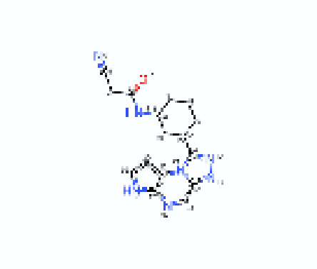 N#CCC(=O)N[C@H]1CCC[C@@H](c2nnc3cnc4[nH]ccc4n23)C1